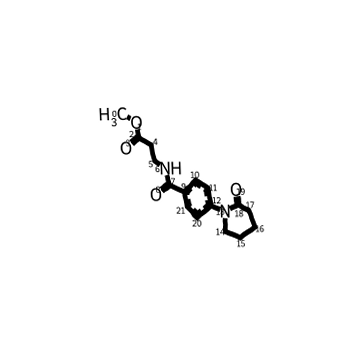 COC(=O)CCNC(=O)c1ccc(N2CCCCC2=O)cc1